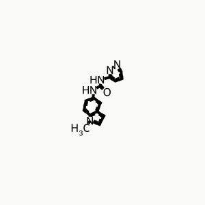 Cn1ccc2cc(NC(=O)Nc3cccnn3)ccc21